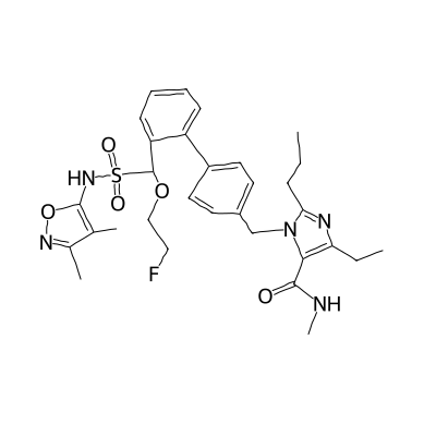 CCCc1nc(CC)c(C(=O)NC)n1Cc1ccc(-c2ccccc2C(OCCF)S(=O)(=O)Nc2onc(C)c2C)cc1